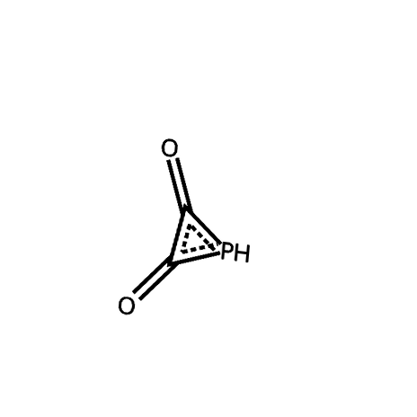 O=c1[pH]c1=O